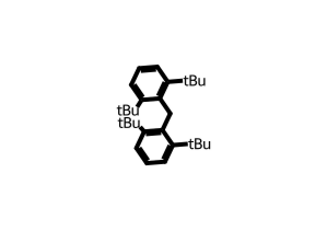 CC(C)(C)c1cccc(C(C)(C)C)c1Cc1c(C(C)(C)C)cccc1C(C)(C)C